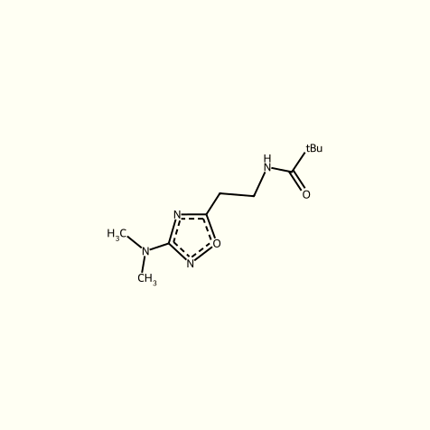 CN(C)c1noc(CCNC(=O)C(C)(C)C)n1